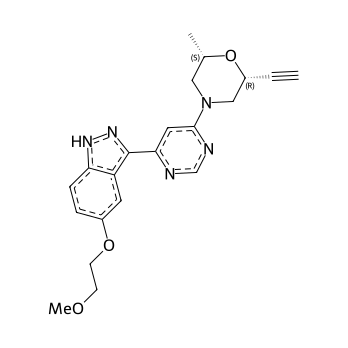 C#C[C@@H]1CN(c2cc(-c3n[nH]c4ccc(OCCOC)cc34)ncn2)C[C@H](C)O1